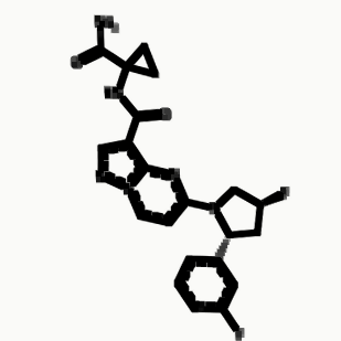 NC(=O)C1(NC(=O)c2cnn3ccc(N4C[C@@H](F)C[C@@H]4c4cccc(F)c4)nc23)CC1